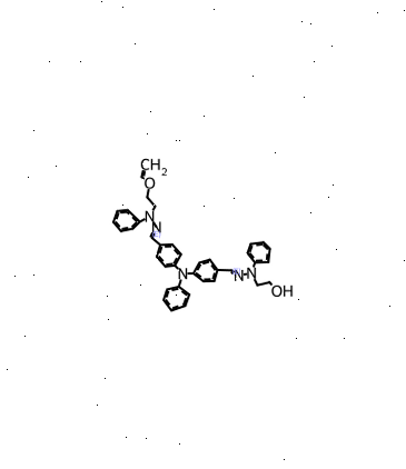 C=COCCN(/N=C/c1ccc(N(c2ccccc2)c2ccc(/C=N/N(CCO)c3ccccc3)cc2)cc1)c1ccccc1